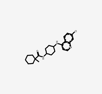 CC1(C(=O)NC2CCC(Nc3ccnc4cc(Cl)ccc34)CC2)CCCCC1